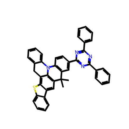 CC1(C)c2cc(-c3nc(-c4ccccc4)nc(-c4ccccc4)n3)ccc2N2c3ccccc3Cc3c2c1cc1c3sc2ccccc21